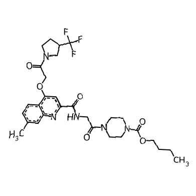 CCCCOC(=O)N1CCN(C(=O)CNC(=O)c2cc(OCC(=O)N3CCC(C(F)(F)F)C3)c3ccc(C)cc3n2)CC1